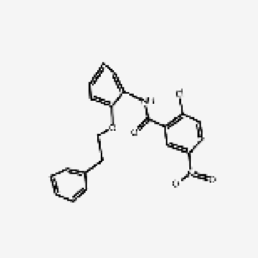 O=C(Nc1ccccc1OCCc1ccccc1)c1cc([N+](=O)[O-])ccc1Cl